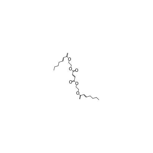 C=C(C=CCCCC)OCCOC(=O)C=CC(=O)OCCOC(=C)C=CCCCC